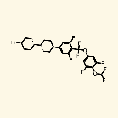 CC[C@H]1CC[C@H]([C@H]2CC[C@H](c3cc(F)c(C(F)(F)Oc4cc(F)c(OC(F)F)c(F)c4)c(F)c3)CC2)CC1